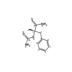 C[C@@](Cc1ccccc1)(OC(N)=O)C(=S)[AsH2]